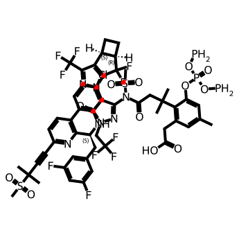 Cc1cc(CC(=O)O)c(C(C)(C)CC(=O)N(c2nn(CC(F)(F)F)c3c(-c4ccc(C#CC(C)(C)S(C)(=O)=O)nc4[C@H](Cc4cc(F)cc(F)c4)NC(=O)Cn4nc(C(F)(F)F)c5c4C(F)(F)[C@@H]4CC[C@H]54)ccc(Cl)c23)S(C)(=O)=O)c(OP(=O)(OP)OP)c1